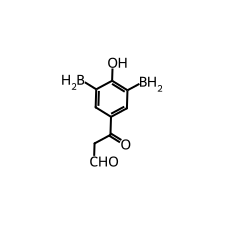 Bc1cc(C(=O)CC=O)cc(B)c1O